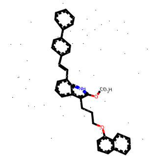 O=C(O)Oc1[nH]c2c(/C=C/c3ccc(-c4ccccc4)cc3)cccc2c1CCCOc1cccc2ccccc12